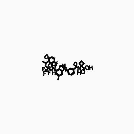 COc1ccc(F)cc1C(C)CC(O)(CNc1cc(C)cc2c1cnn2-c1cccc(C(=O)NC2(C(=O)O)CCC2)c1)C(F)(F)F